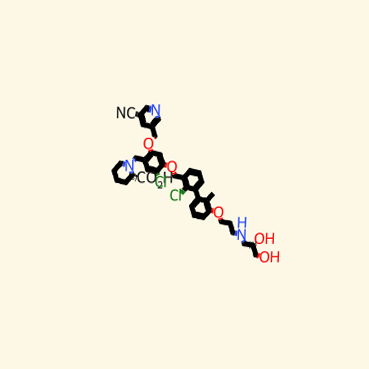 Cc1c(OCCCNC[C@H](O)CO)cccc1-c1cccc(COc2cc(OCc3cncc(C#N)c3)c(CN3CCCC[C@H]3C(=O)O)cc2Cl)c1Cl